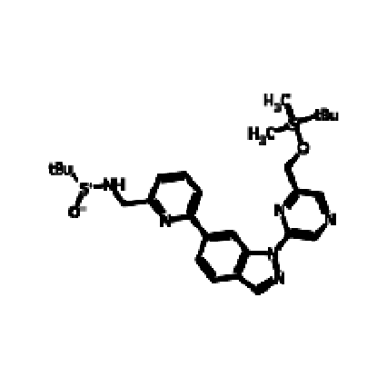 CC(C)(C)[S@@+]([O-])NCc1cccc(-c2ccc3cnn(-c4cncc(CO[Si](C)(C)C(C)(C)C)n4)c3c2)n1